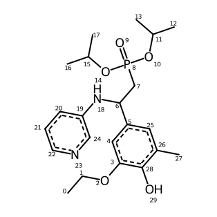 CCOc1cc(C(CP(=O)(OC(C)C)OC(C)C)Nc2cccnc2)cc(C)c1O